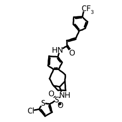 O=C(/C=C/c1ccc(C(F)(F)F)cc1)Nc1ccc2c(c1)CC1CCC(C2)C1NS(=O)(=O)c1ccc(Cl)s1